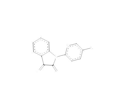 O=C1C(=O)N(c2ccc([N+](=O)[O-])cn2)c2ccccc21